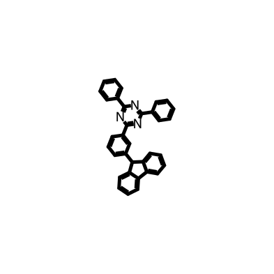 c1ccc(-c2nc(-c3ccccc3)nc(-c3cccc(C4c5ccccc5-c5ccccc54)c3)n2)cc1